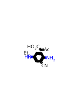 CC(=O)CC(=O)O.CCNc1ccc(N)c(C#N)c1